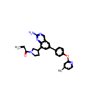 C=CC(=O)N1CCC(c2cc(-c3ccc(Oc4cc(C#N)ccn4)cc3)cc3cnc(N)nc23)C1